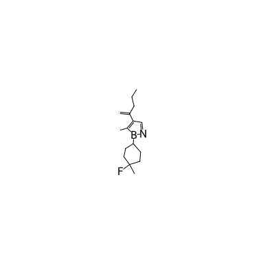 C=C(CCC)C1=C(C)B(C2CCC(C)(F)CC2)N=C1